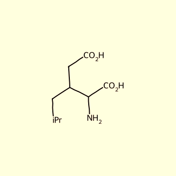 CC(C)CC(CC(=O)O)C(N)C(=O)O